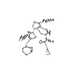 CNc1ncc(-c2cc(-c3ccccc3)[nH]n2)c2cc(NC(=O)C3CC3)ncc12